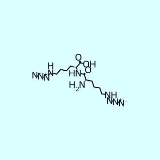 [N-]=[N+]=NNCCCC[C@H](NC(=O)[C@@H](N)CCCCNN=[N+]=[N-])C(=O)O